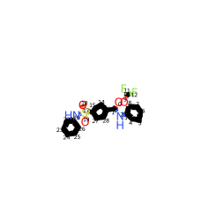 O=C(Nc1ccccc1OC(F)F)c1ccc(S(=O)(=O)Nc2ccccc2)cc1